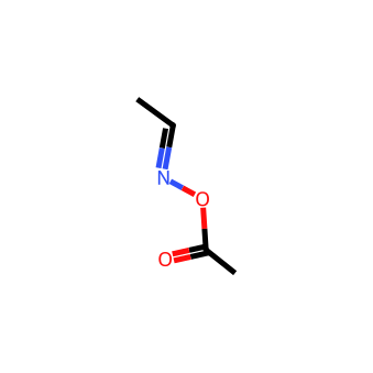 C/C=N/OC(C)=O